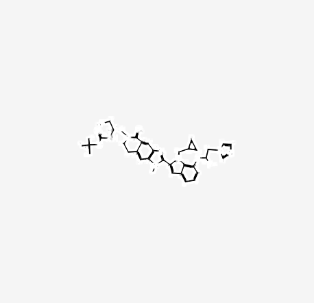 Cn1c(-c2cc3cccc(OC(F)Cn4ccnc4)c3n2CC2CC2)nc2cc3c(cc21)CCN(C[C@@H](CF)NC(=O)OC(C)(C)C)C3=O